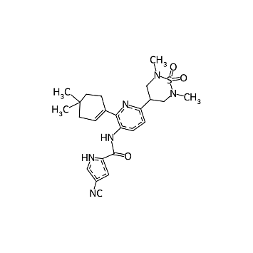 [C-]#[N+]c1c[nH]c(C(=O)Nc2ccc(C3CN(C)S(=O)(=O)N(C)C3)nc2C2=CCC(C)(C)CC2)c1